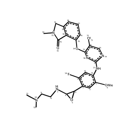 COc1cc(C2OC2NCCN(C)C)c(F)cc1Nc1ncc(C(F)(F)F)c(Oc2cccc3c2C(=O)N(C)C3)n1